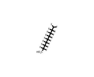 O=C(O)C(F)(F)C(F)(F)C(F)(F)C(F)(F)C(F)(F)C(F)(F)C(F)(F)C(F)F